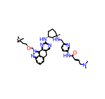 CN(C)C/C=C/C(=O)Nc1ccc(CN[C@@]2(C)CCC[C@@H](Nc3ncc4c(n3)-c3c5c(cccc5nn3COCC[Si](C)(C)C)C4)C2)nc1